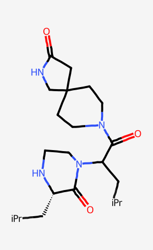 CC(C)CC(C(=O)N1CCC2(CC1)CNC(=O)C2)N1CCN[C@@H](CC(C)C)C1=O